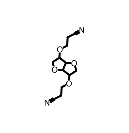 N#CCCOC1COC2C(OCCC#N)COC12